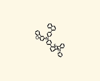 c1ccc(-n2c3ccccc3c3sc4c(-c5ccc(N(c6ccc(-c7cccc8ccccc78)cc6)c6ccc7oc8ccccc8c7c6)cc5)cccc4c32)cc1